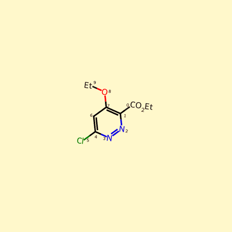 CCOC(=O)c1nnc(Cl)cc1OCC